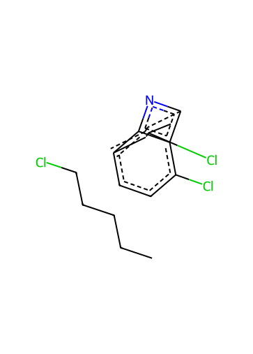 CCCCCCl.Clc1cc2ccc(Cl)c3c1nc23